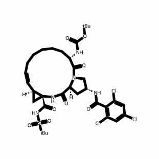 CCC(C)S(=O)(=O)NC(=O)[C@@]12C[C@H]1/C=C\CCCCC[C@H](NC(=O)OC(C)(C)C)C(=O)N1C[C@H](NC(=O)c3c(Cl)cc(Cl)cc3Cl)C[C@H]1C(=O)N2